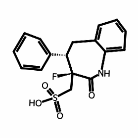 O=C1Nc2ccccc2C[C@@H](c2ccccc2)[C@@]1(F)CS(=O)(=O)O